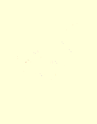 COc1ccc2nc(C(=O)NCC(O)(c3cc4c(c(-c5ccc(F)cc5)n3)OC[C@]4(C)C(N)=O)C(F)(F)F)cn2c1